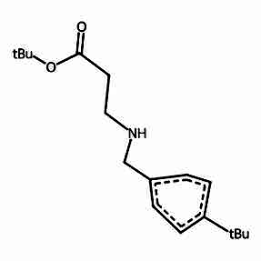 CC(C)(C)OC(=O)CCNCc1ccc(C(C)(C)C)cc1